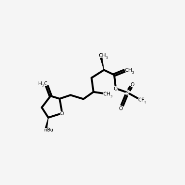 C=C1C[C@H](CCCC)OC1CCC(C)C[C@@H](C)C(=C)OS(=O)(=O)C(F)(F)F